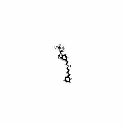 CC(C)(C)OC(=O)N1COc2cc(CCNCCCCc3ccccc3)ccc21